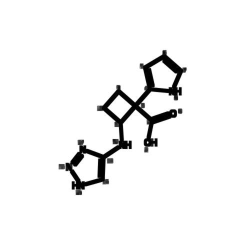 O=C(O)C1(c2ccc[nH]2)CCC1Nc1c[nH]nn1